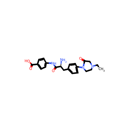 CCN1CCN(c2ccc(C[C@H](N)C(=O)Nc3ccc(C(=O)O)cc3)cc2)C(=O)C1